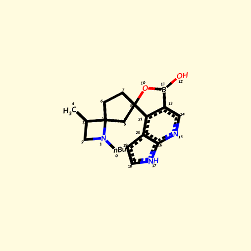 CCCCN1CC(C)C12CCC1(C2)OB(O)c2cnc3[nH]ccc3c21